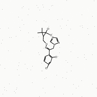 CC1(C)C(CON=C(Cn2cncn2)c2ccc(Cl)cc2Cl)C1(Cl)Cl